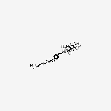 NCCOCCOCCOc1ccc(CCCCNC(=O)c2nc(Cl)c(N)nc2N)cc1